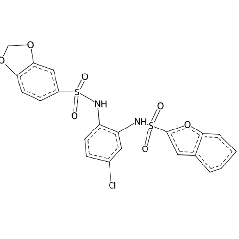 O=S(=O)(Nc1ccc(Cl)cc1NS(=O)(=O)c1cc2ccccc2o1)c1ccc2c(c1)OCO2